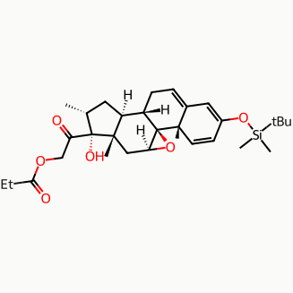 CCC(=O)OCC(=O)[C@@]1(O)[C@H](C)C[C@H]2[C@@H]3CC=C4C=C(O[Si](C)(C)C(C)(C)C)C=C[C@]4(C)[C@@]34O[C@H]4C[C@@]21C